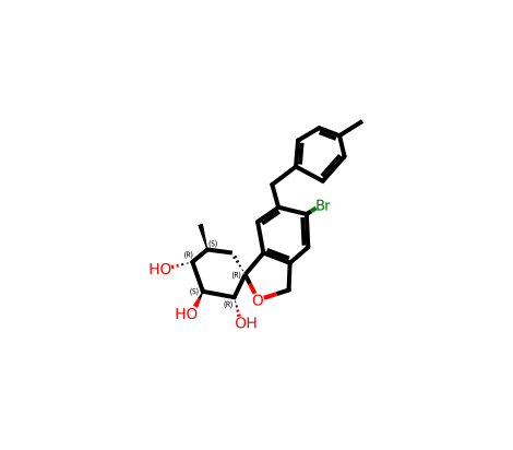 Cc1ccc(Cc2cc3c(cc2Br)CO[C@]32C[C@H](C)[C@@H](O)[C@H](O)[C@H]2O)cc1